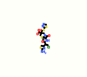 Nc1nc(C(=CCl)C(=O)NC2C(=O)N3CC(CSc4nncs4)(C(=O)O)CS[C@H]23)cs1